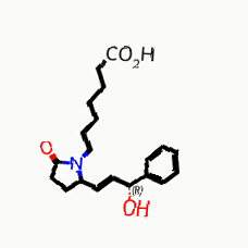 O=C(O)CCCCCCN1C(=O)CCC1C=C[C@@H](O)c1ccccc1